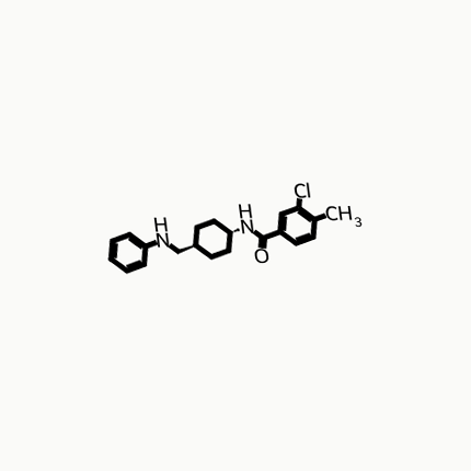 Cc1ccc(C(=O)N[C@H]2CC[C@H](CNc3ccccc3)CC2)cc1Cl